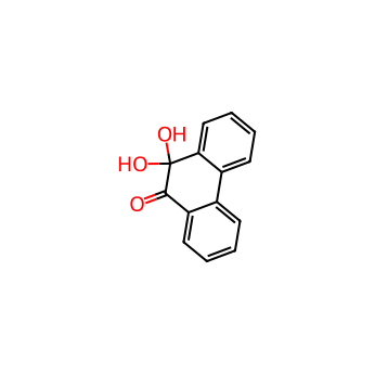 O=C1c2ccccc2-c2ccccc2C1(O)O